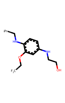 CC(C)CNc1ccc(NCCO)cc1OCC(F)(F)F